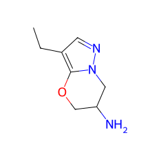 CCc1cnn2c1OCC(N)C2